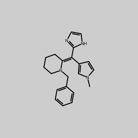 Cn1ccc(C(=C2CCCCN2Cc2ccccc2)c2ncc[nH]2)c1